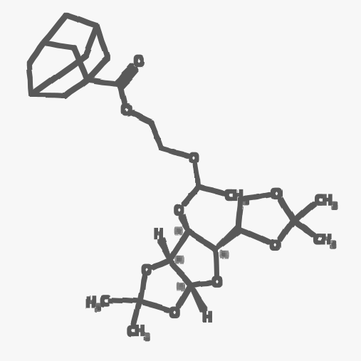 CC(OCCOC(=O)C12CC3CC(CC(C3)C1)C2)O[C@@H]1[C@H]2OC(C)(C)O[C@H]2O[C@@H]1C1COC(C)(C)O1